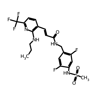 CCCNc1nc(C(F)(F)F)ccc1C=CC(=O)NCc1cc(F)c(NS(C)(=O)=O)cc1F